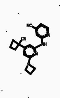 N#Cc1ccnc(Nc2cc(C3(C#N)CCC3)cc(N3CCC3)n2)c1